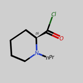 CCCN1CCCC[C@H]1C(=O)Cl